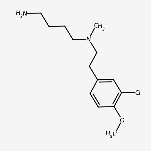 COc1ccc(CCN(C)CCCCN)cc1Cl